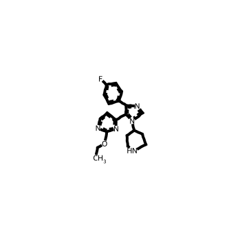 CCOc1nccc(-c2c(-c3ccc(F)cc3)ncn2C2CCNCC2)n1